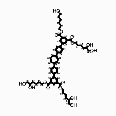 O=C(OCCCCCCO)c1cc(C(=O)OCCCCC(O)CO)cc(-c2ccc(C3=CC=C(c4ccc(-c5cc(C(=O)OCCCCC(O)CO)cc(C(=O)OCCCCC(O)CO)c5)cc4)C=CC3)cc2)c1